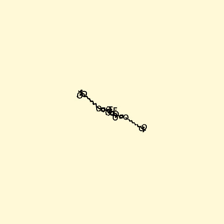 C=C(C)C(=O)OCCCCCCCCCCOc1ccc(C(=O)Oc2ccc(OC(=O)c3ccc(OCCCCCCCCCCOC(=O)C(=C)C)cc3)c(F)c2F)cc1